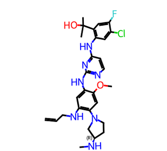 C=CCNc1cc(Nc2nccc(Nc3cc(Cl)c(F)cc3C(C)(C)O)n2)c(OC)cc1N1CC[C@@H](NC)C1